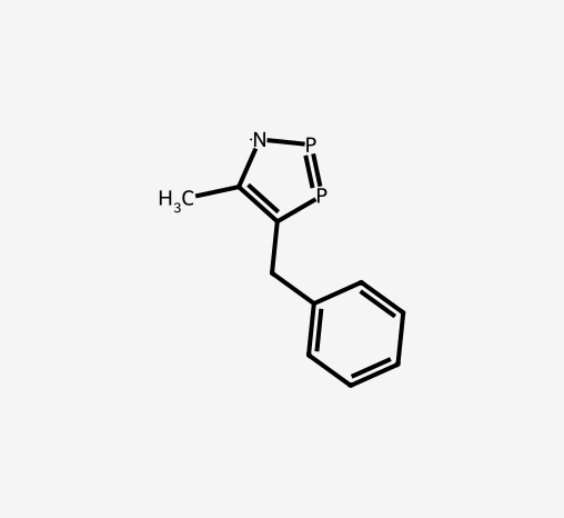 CC1=C(Cc2ccccc2)P=P[N]1